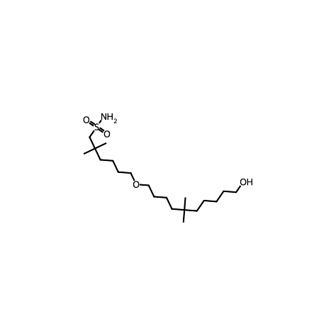 CC(C)(CCCCCO)CCCCOCCCCC(C)(C)CS(N)(=O)=O